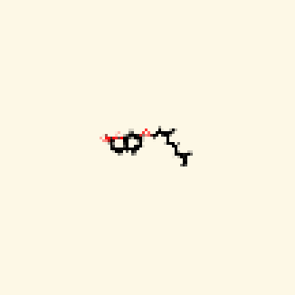 CC(C)=CCCC(C)=CCOc1ccc2ccc(=O)oc2c1